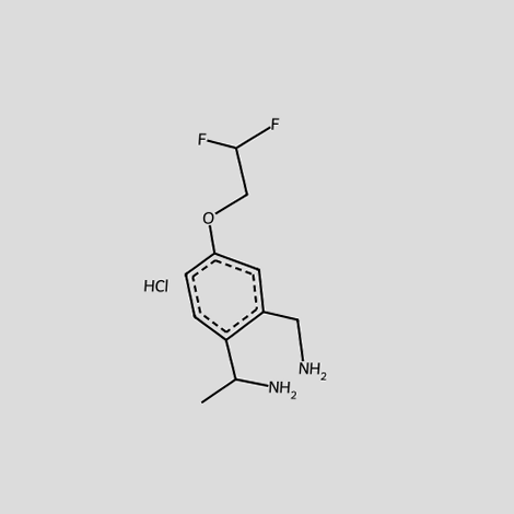 CC(N)c1ccc(OCC(F)F)cc1CN.Cl